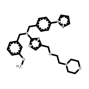 COc1cccc(CN(Cc2ccc(-n3cccn3)cc2)c2nc(COCCN3CCOCC3)co2)c1